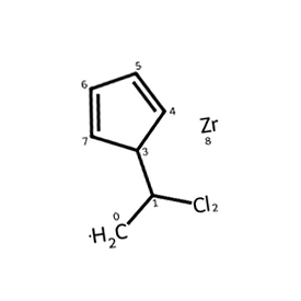 [CH2]C(Cl)C1C=CC=C1.[Zr]